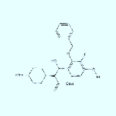 CCC[C@H]1CC[C@H](C(C(=O)OC)C(O)c2ccc(OCC)c(F)c2OCc2ccccc2)CC1